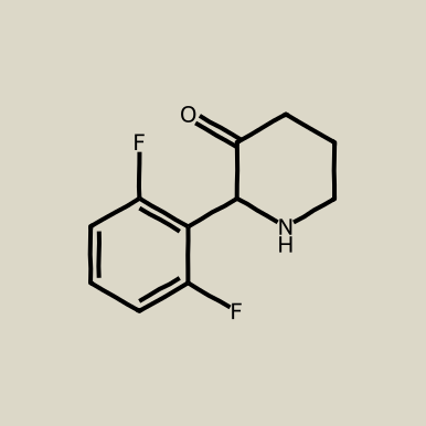 O=C1CCCNC1c1c(F)cccc1F